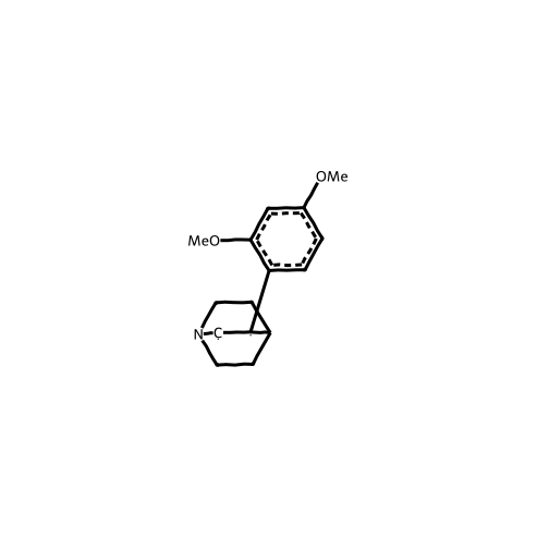 COc1ccc([C]2[CH]N3CCC2CC3)c(OC)c1